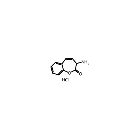 Cl.NC1C=Cc2ccccc2OC1=O